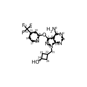 Nc1ncnc2c1c(Oc1cc(C(F)(F)F)ccn1)nn2CC1CC(O)C1